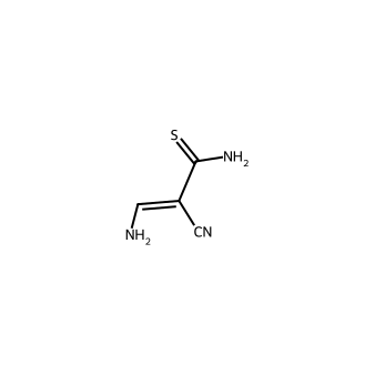 N#C/C(=C\N)C(N)=S